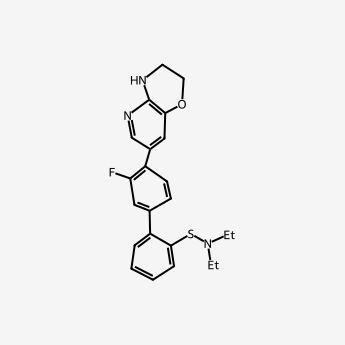 CCN(CC)Sc1ccccc1-c1ccc(-c2cnc3c(c2)OCCN3)c(F)c1